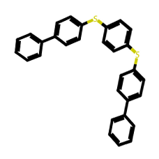 c1ccc(-c2ccc(Sc3ccc(Sc4ccc(-c5ccccc5)cc4)cc3)cc2)cc1